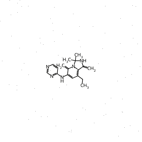 C=C1NC(C)(C)N2C(=C)C(Nc3ccncn3)=CC(CC)=C12